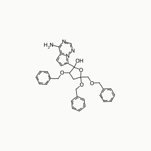 Nc1ncnn2c(C3(O)OC(COCc4ccccc4)(OCc4ccccc4)CC3OCc3ccccc3)ccc12